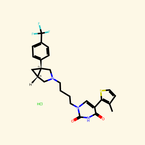 Cc1ccsc1-c1cn(CCCCN2C[C@@H]3C[C@]3(c3ccc(C(F)(F)F)cc3)C2)c(=O)[nH]c1=O.Cl